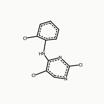 Clc1ncc(Cl)c(Nc2ccccc2Cl)n1